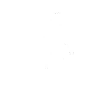 CNS(=O)(=O)C1CC1C1=NNC(=O)/C1=C1/C=Cc2ccccc2N1